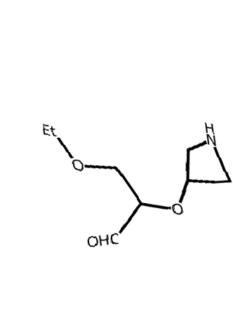 CCOCC(C=O)OC1CNC1